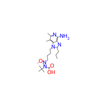 CCCc1nc2c(N)nc(C)c(C)c2n1CCCCN(OC)N(C(=O)O)C(C)(C)C